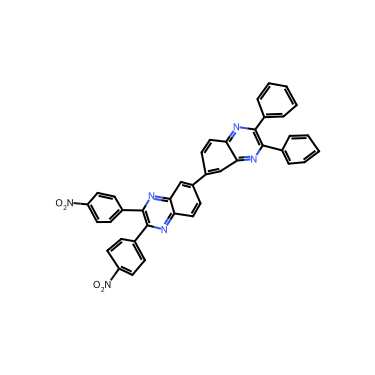 O=[N+]([O-])c1ccc(-c2nc3ccc(-c4ccc5nc(-c6ccccc6)c(-c6ccccc6)nc5c4)cc3nc2-c2ccc([N+](=O)[O-])cc2)cc1